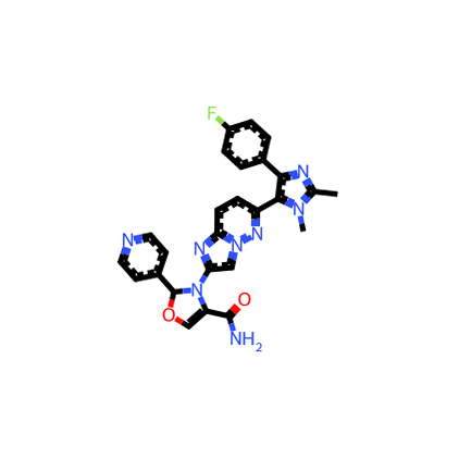 Cc1nc(-c2ccc(F)cc2)c(-c2ccc3nc(N4C(C(N)=O)=COC4c4ccncc4)cn3n2)n1C